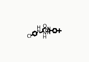 CC(C)(C)c1ccc(-c2nc3[nH]c(CNc4ccc(Cl)cc4)cc(=O)n3n2)cc1